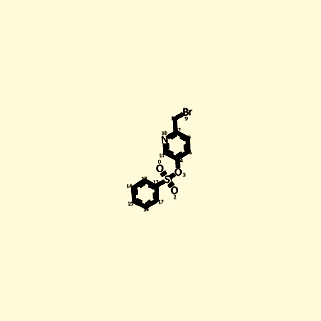 O=S(=O)(Oc1ccc(CBr)nc1)c1ccccc1